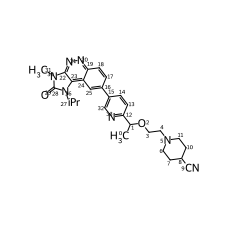 CC(OCCN1CCC(C#N)CC1)c1ccc(-c2ccc3nnc4c(c3c2)n(C(C)C)c(=O)n4C)cn1